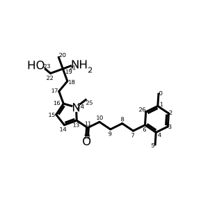 Cc1ccc(C)c(CCCCC(=O)c2ccc(CCC(C)(N)CO)n2C)c1